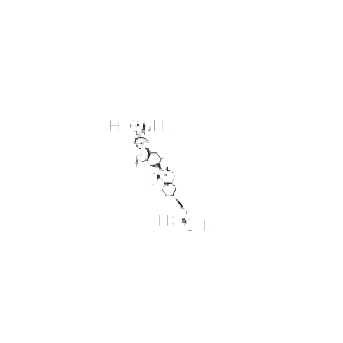 CC(O)CC#Cc1ccc2c(c1)CCN(c1ccc(N3CC[C@@H](N(C)C)C3)c(F)c1)C2=O